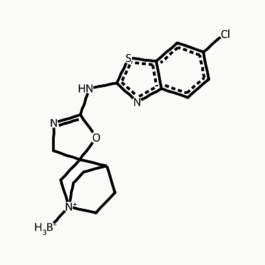 [BH3-][N+]12CCC(CC1)C1(CN=C(Nc3nc4ccc(Cl)cc4s3)O1)C2